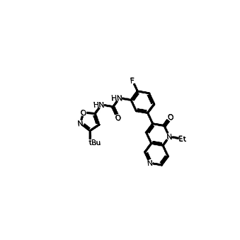 CCn1c(=O)c(-c2ccc(F)c(NC(=O)Nc3cc(C(C)(C)C)no3)c2)cc2cnccc21